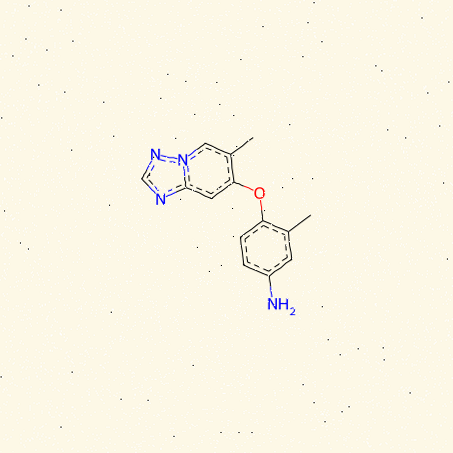 Cc1cc(N)ccc1Oc1cc2ncnn2cc1C